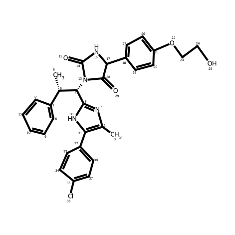 Cc1nc([C@H]([C@@H](C)c2ccccc2)N2C(=O)NC(c3ccc(OCCO)cc3)C2=O)[nH]c1-c1ccc(Cl)cc1